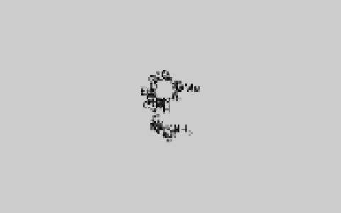 CC[C@H]1OC(=O)[C@H](C)C(=O)[C@H](C)C[C@](C)(OC)C[C@@H](C)CN[C@H](C)[C@H]2N(CCCCn3cc(-c4cccc(N)c4)nn3)C(=O)O[C@]12C